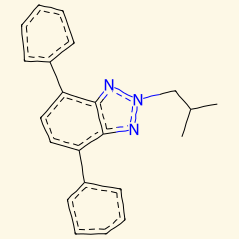 CC(C)Cn1nc2c(-c3ccccc3)ccc(-c3ccccc3)c2n1